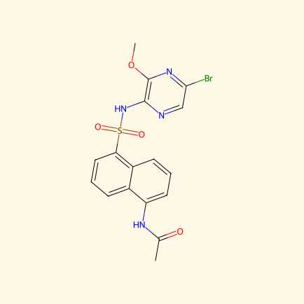 COc1nc(Br)cnc1NS(=O)(=O)c1cccc2c(NC(C)=O)cccc12